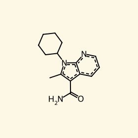 Cc1c(C(N)=O)c2cccnc2n1C1CCCCC1